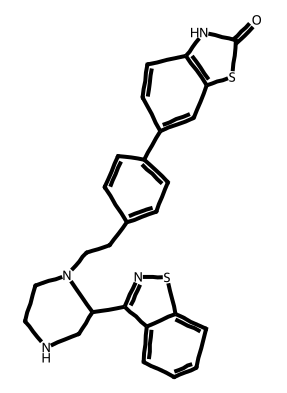 O=c1[nH]c2ccc(-c3ccc(CCN4CCNCC4c4nsc5ccccc45)cc3)cc2s1